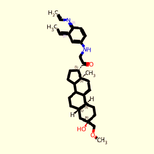 C=C/N=C1/C=CC(NCC(=O)[C@H]2CCC3C4CC[C@H]5C[C@@](O)(COC)CC[C@@H]5C4CC[C@@]32C)=C/C1=C/C